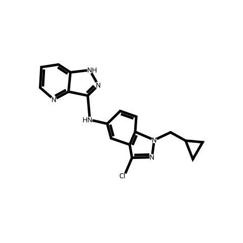 Clc1nn(CC2CC2)c2ccc(Nc3n[nH]c4cccnc34)cc12